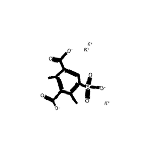 Cc1c(C(=O)[O-])cc(S(=O)(=O)[O-])c(C)c1C(=O)[O-].[K+].[K+].[K+]